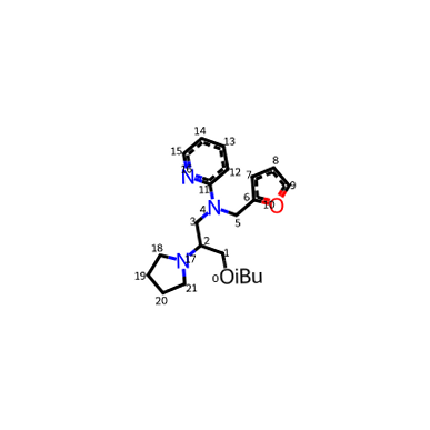 CC(C)COCC(CN(Cc1ccco1)c1ccccn1)N1CCCC1